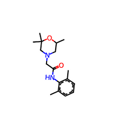 Cc1cccc(C)c1NC(=O)CN1CC(C)OC(C)(C)C1